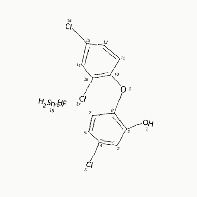 F.Oc1cc(Cl)ccc1Oc1ccc(Cl)cc1Cl.[SnH2]